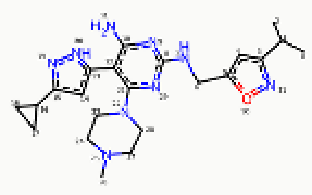 CC(C)c1cc(CNc2nc(N)c(-c3cc(C4CC4)n[nH]3)c(N3CCN(C)CC3)n2)on1